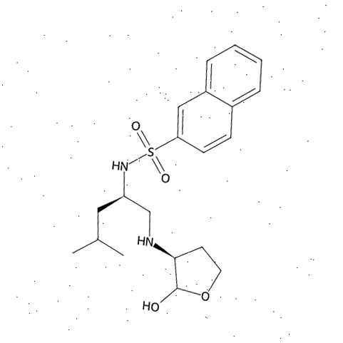 CC(C)C[C@H](CN[C@H]1CCOC1O)NS(=O)(=O)c1ccc2ccccc2c1